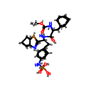 COC(=O)N[C@@H](Cc1ccccc1)C(=O)N[C@@H](Cc1ccc(NS(=O)(=O)O)cc1)C1=NC2CCCC2S1